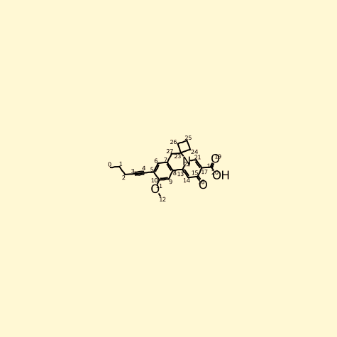 CCCC#Cc1cc2c(cc1OC)-c1cc(=O)c(C(=O)O)cn1C1(CCC1)C2